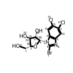 OC[C@H]1O[C@@H](n2c(Br)nc3cc(Cl)c(Cl)cc32)[C@@H](O)[C@@H]1O